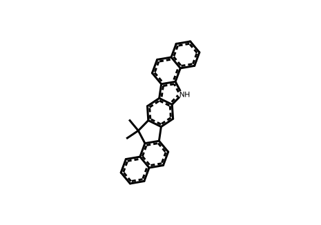 CC1(C)c2cc3c(cc2-c2ccc4ccccc4c21)[nH]c1c2ccccc2ccc31